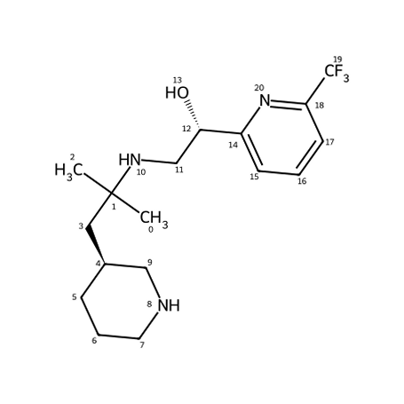 CC(C)(C[C@@H]1CCCNC1)NC[C@H](O)c1cccc(C(F)(F)F)n1